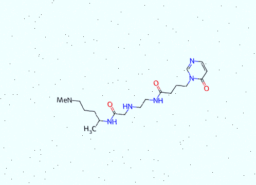 CNCCCC(C)NC(=O)CNCCNC(=O)CCCn1cnccc1=O